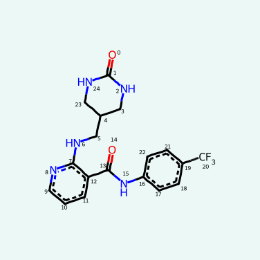 O=C1NCC(CNc2ncccc2C(=O)Nc2ccc(C(F)(F)F)cc2)CN1